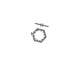 [CH3][Ni][CH3].c1ccncc1